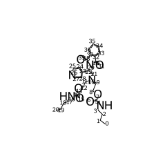 CCCCNC(=O)OCCN(CCOC(=O)NCCCC)CC(c1ccncc1)N1C(=O)c2ccccc2C1=O